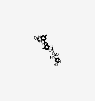 COc1cc(NC(=O)OC[C@H]2COc3c(cc(C)c4nc(-c5cc(C)cc6nc(OC)cnc56)sc34)O2)ccn1